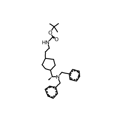 C[C@@H](C1CCC(CCNC(=O)OC(C)(C)C)CC1)N(Cc1ccccc1)Cc1ccccc1